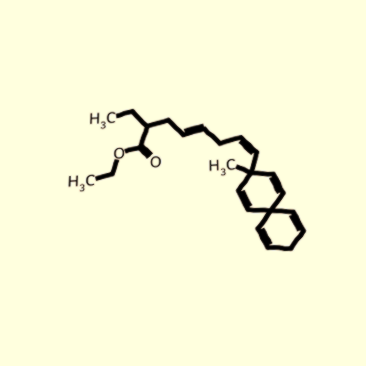 CCOC(=O)C(CC)C/C=C/C/C=C\C1(C)C=CC2(C=CCC=C2)C=C1